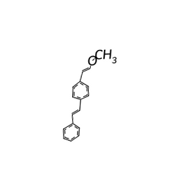 CO/C=C/c1ccc(/C=C/c2ccccc2)cc1